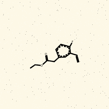 C=Cc1cc(CC(=O)OCC)ccc1F